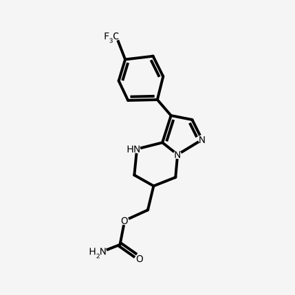 NC(=O)OCC1CNc2c(-c3ccc(C(F)(F)F)cc3)cnn2C1